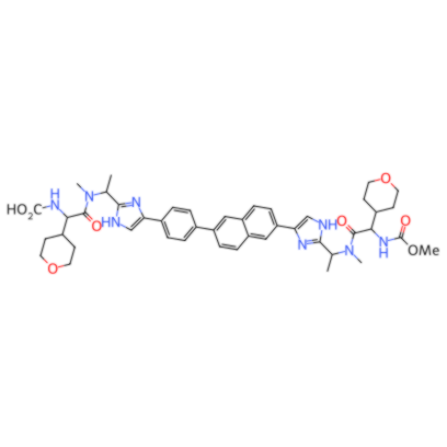 COC(=O)NC(C(=O)N(C)C(C)c1nc(-c2ccc3cc(-c4ccc(-c5c[nH]c(C(C)N(C)C(=O)C(NC(=O)O)C6CCOCC6)n5)cc4)ccc3c2)c[nH]1)C1CCOCC1